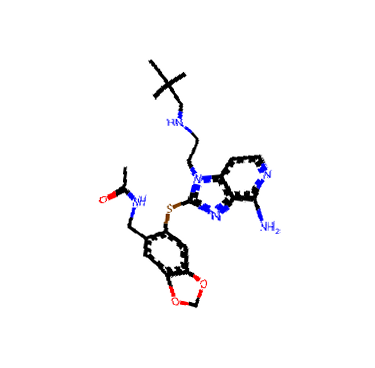 CC(=O)NCc1cc2c(cc1Sc1nc3c(N)nccc3n1CCNCC(C)(C)C)OCO2